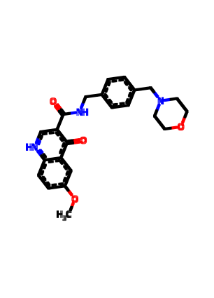 COc1ccc2[nH]cc(C(=O)NCc3ccc(CN4CCOCC4)cc3)c(=O)c2c1